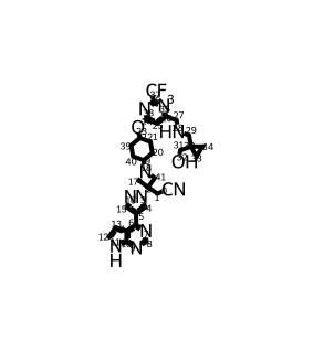 N#CCC1(n2cc(-c3ncnc4[nH]ccc34)cn2)CN(C2CCC(Oc3cc(CNCC4(CO)CC4)nc(C(F)(F)F)n3)CC2)C1